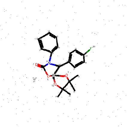 CC1(C)O[B-]2(OC(=O)N(c3ccccc3)C2c2ccc(F)cc2)OC1(C)C.[Li+]